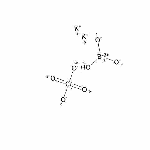 [K+].[K+].[O-][Br+2]([O-])O.[O]=[Cr](=[O])([O-])[O-]